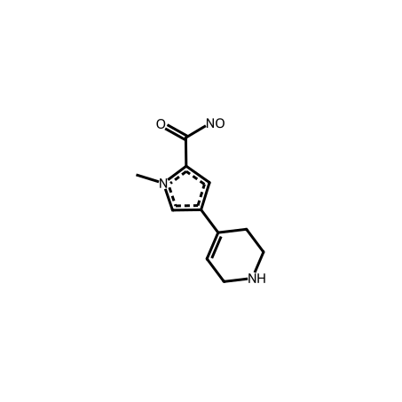 Cn1cc(C2=CCNCC2)cc1C(=O)N=O